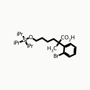 CC(C)[Si](OCCCCC(C)(C(=O)O)c1ccccc1Br)(C(C)C)C(C)C